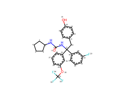 O=C(NC1CCCC1)NC(Cc1ccc(O)cc1)(c1cccc(F)c1)c1cccc(OC(F)(F)F)c1